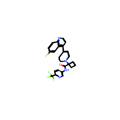 O=C(Nc1ccc(C(F)(F)F)nc1)C1(N2CCC(c3ccnc4ccc(F)cc34)CC2)CCC1